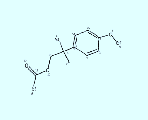 CCOc1ccc(C(C)(CC)COC(=O)CC)cc1